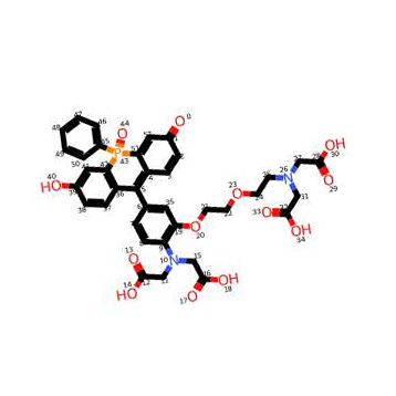 O=C1C=CC2=C(c3ccc(N(CC(=O)O)CC(=O)O)c(OCCOCCN(CC(=O)O)CC(=O)O)c3)c3ccc(O)cc3P(=O)(c3ccccc3)C2=C1